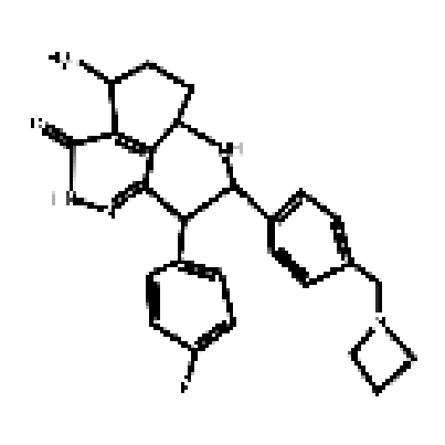 CC1CCC2NC(c3ccc(CN4CCC4)cc3)C(c3ccc(F)cc3)c3n[nH]c(=O)c1c32